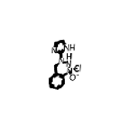 [O-][N+]1(Cl)NN(c2ncc[nH]2)Cc2ccccc21